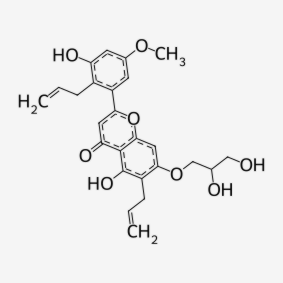 C=CCc1c(O)cc(OC)cc1-c1cc(=O)c2c(O)c(CC=C)c(OCC(O)CO)cc2o1